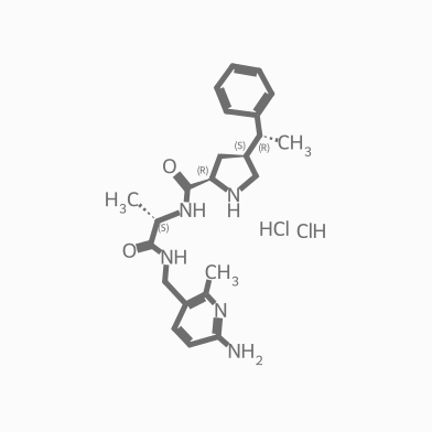 Cc1nc(N)ccc1CNC(=O)[C@H](C)NC(=O)[C@H]1C[C@@H]([C@@H](C)c2ccccc2)CN1.Cl.Cl